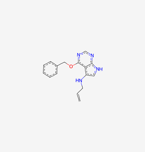 C=CCNc1c[nH]c2ncnc(OCc3ccccc3)c12